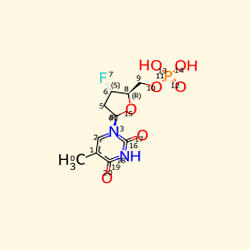 Cc1cn([C@H]2C[C@H](F)[C@@H](COP(=O)(O)O)O2)c(=O)[nH]c1=O